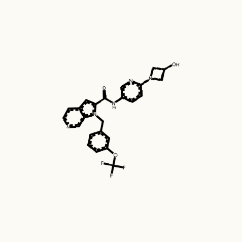 O=C(Nc1ccc(N2CC(O)C2)nc1)c1cc2ccncc2n1Cc1cccc(OC(F)(F)F)c1